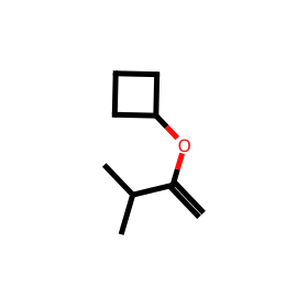 C=C(OC1CCC1)C(C)C